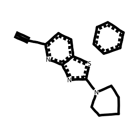 C#Cc1ccc2sc(N3CCCCC3)nc2n1.c1ccccc1